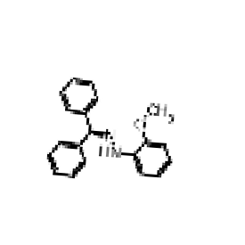 COc1ccccc1NN=C(c1ccccc1)c1ccccc1